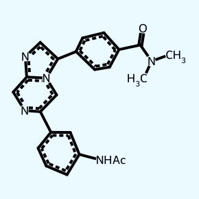 CC(=O)Nc1cccc(-c2cn3c(-c4ccc(C(=O)N(C)C)cc4)cnc3cn2)c1